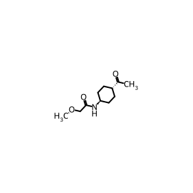 COCC(=O)N[C@H]1CC[C@H](C(C)=O)CC1